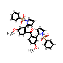 COc1ccc(C(=O)c2ccc(OC)cc2-c2cccn2S(=O)(=O)c2ccccc2)c(-c2cccn2S(=O)(=O)c2ccccc2)c1